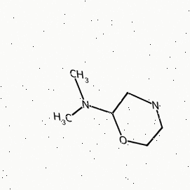 CN(C)C1C[N]CCO1